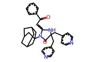 O=C(/C=C1\NC(Cc2ccncc2)(Cc2ccncc2)C(=O)N1C12CC3CC(CC(C3)C1)C2)c1ccccc1